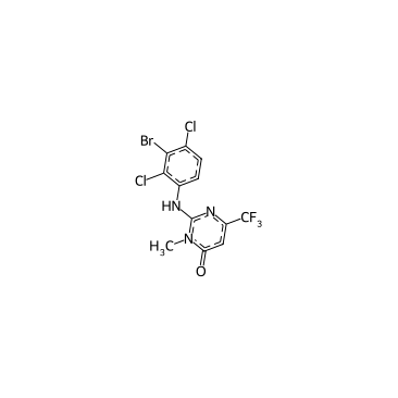 Cn1c(Nc2ccc(Cl)c(Br)c2Cl)nc(C(F)(F)F)cc1=O